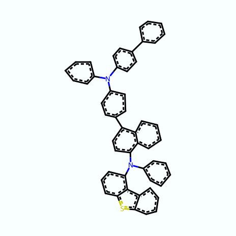 c1ccc(-c2ccc(N(c3ccccc3)c3ccc(-c4ccc(N(c5ccccc5)c5cccc6sc7ccccc7c56)c5ccccc45)cc3)cc2)cc1